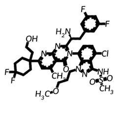 COCCCn1nc(NS(C)(=O)=O)c2c(Cl)ccc(-n3c([C@@H](N)Cc4cc(F)cc(F)c4)nc4nc(C5(CCO)CCC(F)(F)CC5)cc(C)c4c3=O)c21